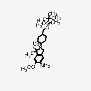 COc1cc2c(cc1N)CN(C1CCC(CO[Si](C)(C)C(C)(C)C)CC1)C2(C)C